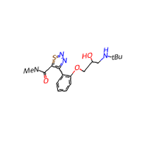 CNC(=O)c1snnc1-c1ccccc1OCC(O)CNC(C)(C)C